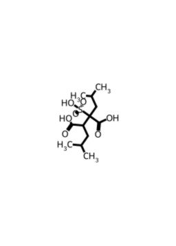 CC(C)CC(C(=O)O)C(CC(C)C)(C(=O)O)S(=O)(=O)O